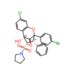 O=C1C2(c3ccc(Br)cc3)Oc3cc(Cl)ccc3[C@]1(O)[C@@H](S(=O)(=O)N1CCCC1)[C@H]2c1ccccc1